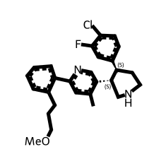 COCCCc1ccccc1-c1cc(C)c([C@H]2CNCC[C@@H]2c2ccc(Cl)c(F)c2)cn1